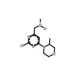 CC1COCCN1c1cc(C[S@@+](C)[O-])nc(Cl)n1